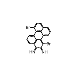 N=c1c(Br)c2c3cccc4ccc(Br)c(c5cccc(c1=N)c52)c43